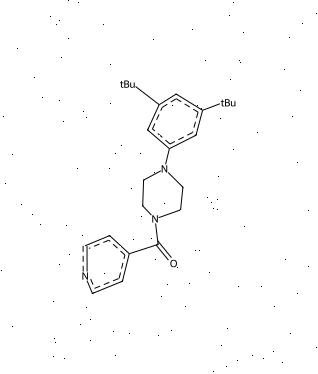 CC(C)(C)c1cc(N2CCN(C(=O)c3ccncc3)CC2)cc(C(C)(C)C)c1